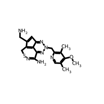 COc1c(C)cnc(Cn2nc3cc(CN)c4c-3c(n2)C(N)=NSC4)c1C